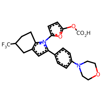 O=C(O)Oc1ccc(-n2c(-c3ccc(N4CCOCC4)cc3)cc3c2CCC(C(F)(F)F)C3)o1